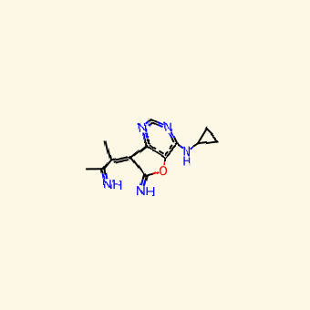 CC(=N)/C(C)=C1\C(=N)Oc2c(NC3CC3)ncnc21